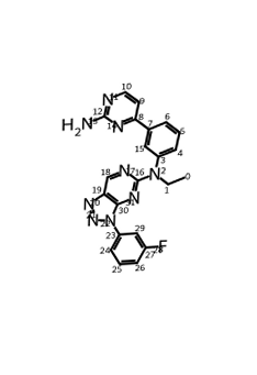 CCN(c1cccc(-c2ccnc(N)n2)c1)c1ncc2nnn(-c3cccc(F)c3)c2n1